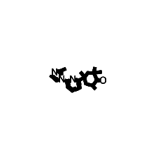 Cc1nccn1-c1cccc(C2(C)CC(C)C(=O)C(C)(C)C2)n1